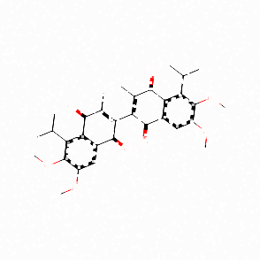 COc1cc2c(c(C(C)C)c1OC)C(=O)C(C)=C(C1=C(C)C(=O)c3c(cc(OC)c(OC)c3C(C)C)C1=O)C2=O